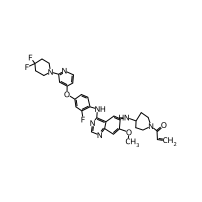 C=CC(=O)N1CCC(Nc2cc3c(Nc4ccc(Oc5ccnc(N6CCC(F)(F)CC6)c5)cc4F)ncnc3cc2OC)CC1